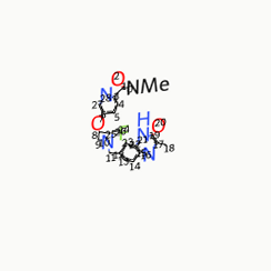 CNC(=O)c1ccc(O[C@H]2CN(Cc3ccc4nc(C)c(=O)[nH]c4c3F)[C@@H]2C)cn1